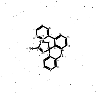 NC1=NC2(CO1)c1ccccc1Oc1cccc(-c3cccnn3)c12